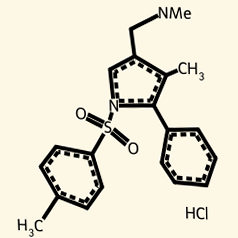 CNCc1cn(S(=O)(=O)c2ccc(C)cc2)c(-c2ccccc2)c1C.Cl